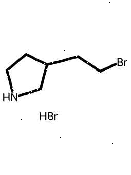 Br.BrCCC1CCNC1